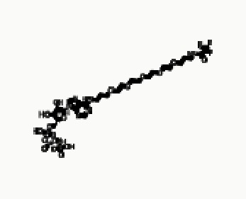 O=C(NCCCOCCOCCOCCOCCOCCCNc1ncnc2c1ncn2[C@@H]1O[C@H](COP(=O)(O)OP(=O)(O)OP(=O)(O)O)C(O)[C@@H]1O)C(F)(F)F